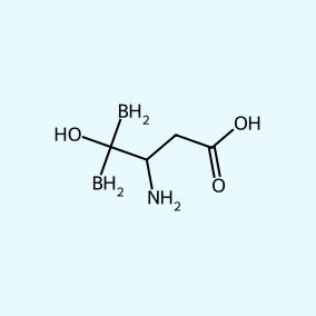 BC(B)(O)C(N)CC(=O)O